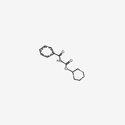 O=C(NC(=O)c1ccccc1)OC1CCCCC1